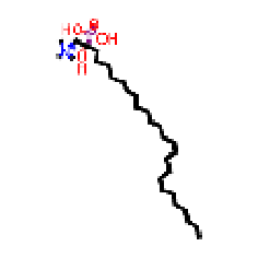 CCCCCC/C=C\CC/C=C\CCCCCCCCCCCCC(O)(C[N+](C)(C)C)P(=O)(O)O